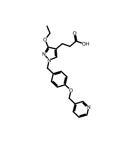 CCOc1nn(Cc2ccc(OCc3cccnc3)cc2)cc1CCC(=O)O